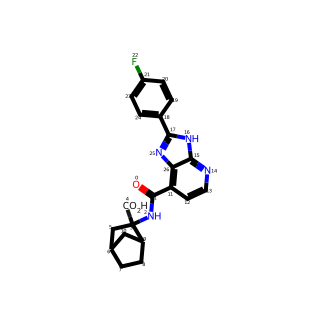 O=C(NC1(C(=O)O)CC2CCC1C2)c1ccnc2[nH]c(-c3ccc(F)cc3)nc12